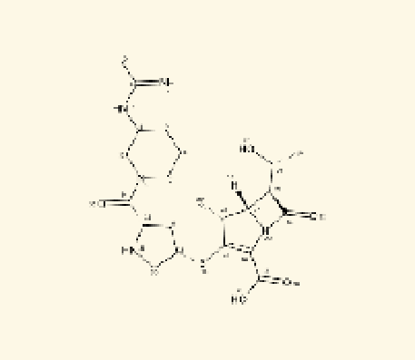 CC(=N)NC1CCCN(C(=O)[C@@H]2C[C@H](SC3=C(C(=O)O)N4C(=O)[C@H]([C@@H](C)O)[C@H]4[C@H]3C)CN2)C1